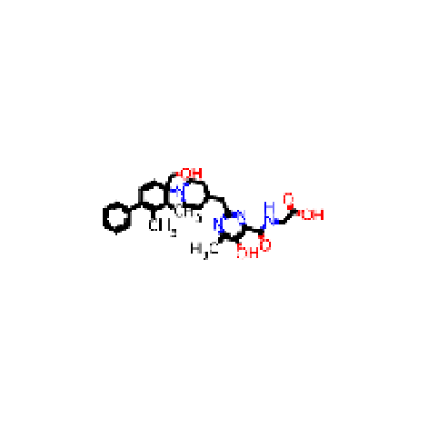 CC1=C(c2ccccc2)C=CC(CO)(N2CCC(Cc3nc(C)c(O)c(C(=O)NCC(=O)O)n3)CC2)C1C